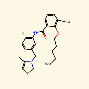 Br.CCCCCCCCCCCCCCOc1c(C(=O)Nc2cccc(CN3CSC=C3C)c2)cccc1C(C)(C)C